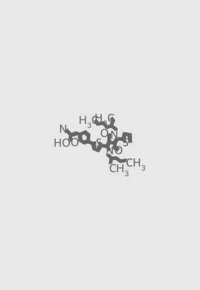 CCCCC(CC)CN1C(=O)C2=C(c3ccc(-c4ccc(/C=C(/C#N)C(=O)O)cc4)s3)N(CC(CC)CCCC)C(=O)C2=C1c1cccs1